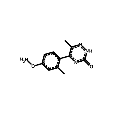 Cc1cc(ON)ccc1-c1nc(=O)[nH]nc1C